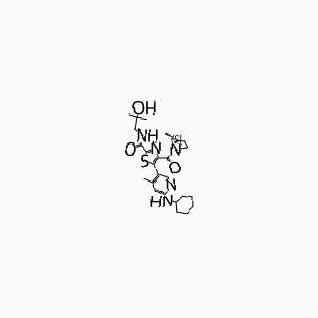 Cc1cc(NC2CCCCC2)ncc1-c1sc(C(=O)NCC(C)(C)O)nc1C(=O)N1CC[C@@H]1C